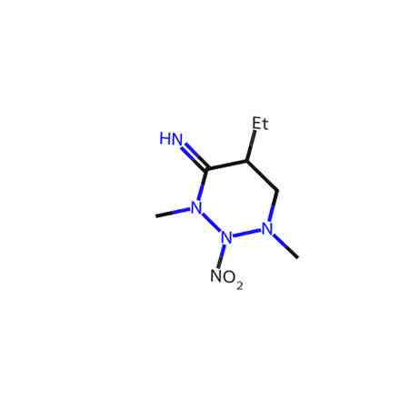 CCC1CN(C)N([N+](=O)[O-])N(C)C1=N